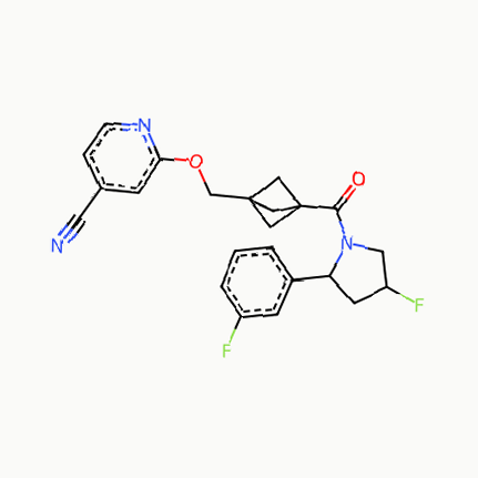 N#Cc1ccnc(OCC23CC(C(=O)N4CC(F)CC4c4cccc(F)c4)(C2)C3)c1